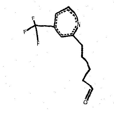 O=CCCCCc1cc(C(F)(F)F)ccn1